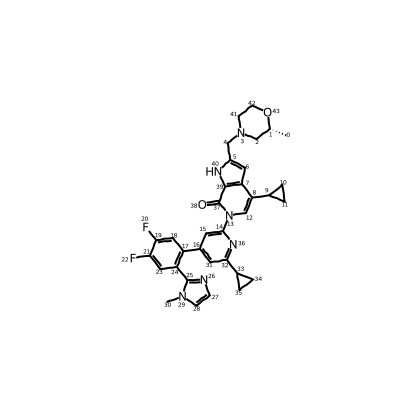 C[C@@H]1CN(Cc2cc3c(C4CC4)cn(-c4cc(-c5cc(F)c(F)cc5-c5nccn5C)cc(C5CC5)n4)c(=O)c3[nH]2)CCO1